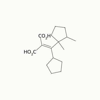 CC1CCCC1(C)C(=C(C(=O)O)C(=O)O)C1CCCC1